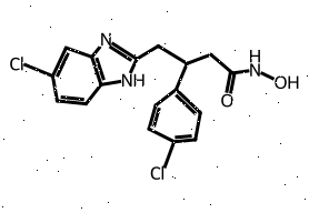 O=C(CC(Cc1nc2cc(Cl)ccc2[nH]1)c1ccc(Cl)cc1)NO